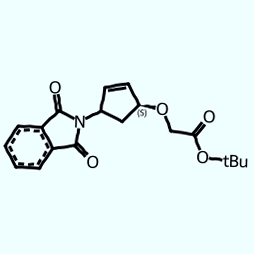 CC(C)(C)OC(=O)CO[C@@H]1C=CC(N2C(=O)c3ccccc3C2=O)C1